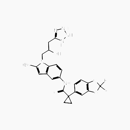 CC(C)(C)c1cc2cc(NC(=O)C3(c4ccc5c(c4)OC(F)(F)O5)CC3)ccc2n1CC(O)CC1=NNNN1